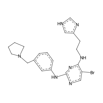 Brc1cnc(Nc2cccc(CN3CCCC3)c2)nc1NCCc1c[nH]cn1